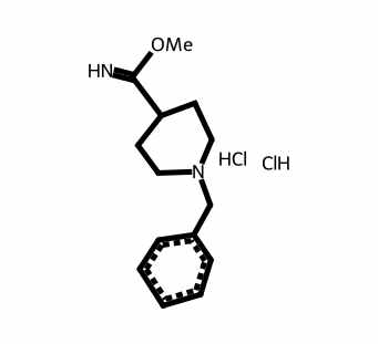 COC(=N)C1CCN(Cc2ccccc2)CC1.Cl.Cl